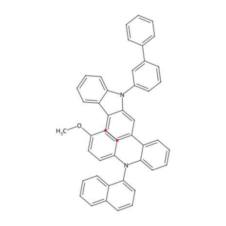 COc1ccc(N(c2ccccc2-c2ccc3c4ccccc4n(-c4cccc(-c5ccccc5)c4)c3c2)c2cccc3ccccc23)cc1